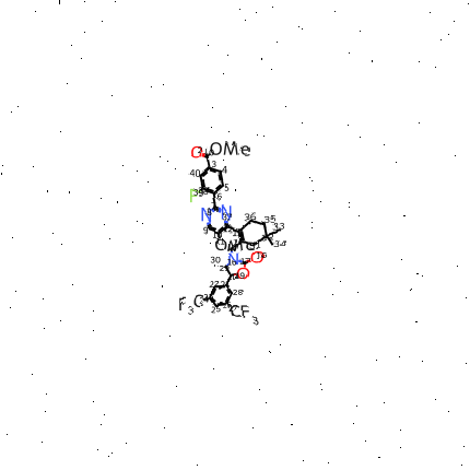 COC(=O)c1ccc(-c2ncc(OC)c(C3=C(CN4C(=O)OC(c5cc(C(F)(F)F)cc(C(F)(F)F)c5)[C@@H]4C)CC(C)(C)CC3)n2)c(F)c1